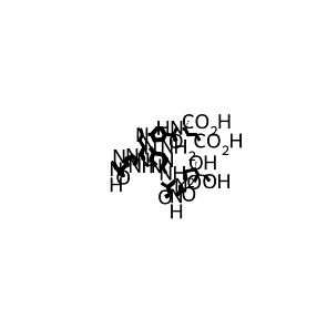 CN(Cc1cnc2nc(N)nc(N)c2n1)c1ccc(C(=O)N[C@@H](CCC(=O)O)C(=O)O)cc1.Cc1cn([C@H]2C[C@H](O)[C@@H](CO)O2)c(=O)[nH]c1=O.O=c1[nH]cnc2nc[nH]c12